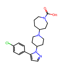 O=C(O)N1CCCC(N2CCC(n3nccc3-c3ccc(Cl)cc3)CC2)CC1